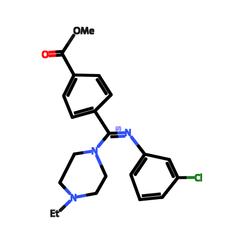 CCN1CCN(/C(=N\c2cccc(Cl)c2)c2ccc(C(=O)OC)cc2)CC1